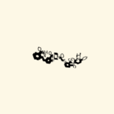 O=C1CCC(N2C(=O)c3cccc(SCC(=O)N4CCN(C(=O)c5cc(Cc6n[nH]c(=O)c7ccccc67)ccc5F)CC4)c3C2=O)C(=O)N1